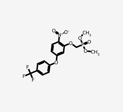 COP(=O)(COc1cc(Oc2ccc(C(F)(F)F)cc2)ccc1[N+](=O)[O-])OC